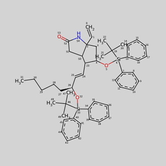 C=CC12CC(O[Si](c3ccccc3)(c3ccccc3)C(C)(C)C)C(C=C[C@H](CCCCC)O[Si](c3ccccc3)(c3ccccc3)C(C)(C)C)C1CC(=O)N2